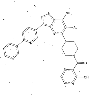 CC(=O)c1c(C2CCN(C(=O)c3nccnc3O)CC2)nc2c(-c3ccc(-c4cccnc4)nc3)cnn2c1N